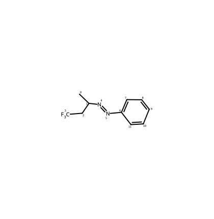 CC(CC(F)(F)F)/N=N/c1ccccc1